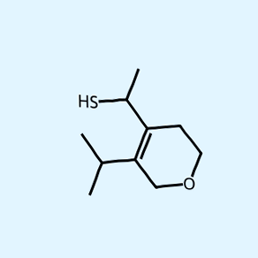 CC(C)C1=C(C(C)S)CCOC1